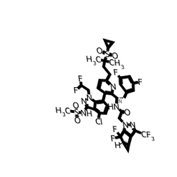 CC(C)(CCc1ccc(-c2ccc(Cl)c3c(NS(C)(=O)=O)nn(CC(F)F)c23)c([C@H](Cc2cc(F)cc(F)c2)NC(=O)Cn2nc(C(F)(F)F)c3c2C(F)(F)[C@@H]2CC32)n1)S(=O)(=O)C1CC1